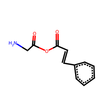 NCC(=O)OC(=O)/C=C/c1ccccc1